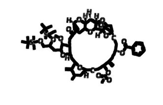 C=C1C[C@@H](OC(=O)c2ccccc2)CC[C@@]23CC4O[C@H]5[C@@H](O2)[C@H]2O[C@H](CCC2O[C@H]5[C@H]4O3)CC(=O)CC2[C@@H](OC)C(CC(CO[Si](C)(C)C(C)(C)C)O[Si](C)(C)C(C)(C)C)O[C@H]2CC2O[C@@H](CCC1OS(C)(=O)=O)CC(C)C2=C